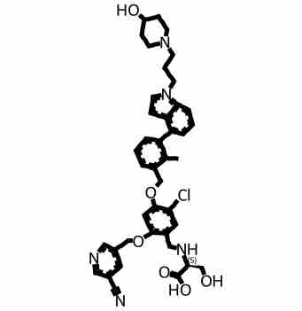 Cc1c(COc2cc(OCc3cncc(C#N)c3)c(CN[C@@H](CO)C(=O)O)cc2Cl)cccc1-c1cccc2c1ccn2CCCN1CCC(O)CC1